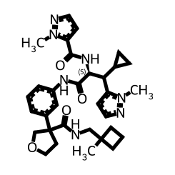 Cn1nccc1C(=O)N[C@H](C(=O)Nc1cccc(C2(C(=O)NCC3(C)CCC3)CCOC2)c1)C(c1ccnn1C)C1CC1